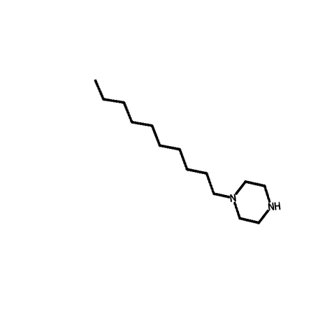 CCCCCCCCCCN1CCNCC1